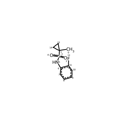 CC1(S(=O)(=O)Nc2ccccc2F)CC1